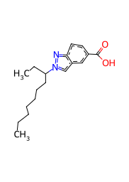 CCCCCCCC(CC)n1cc2cc(C(=O)O)ccc2n1